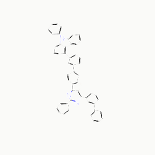 c1ccc(-c2cccc(-c3nc(-c4ccccc4)nc4c3sc3cc(-c5cccc(-c6cccc7c6c6ccccc6n7-c6ccccc6)c5)ccc34)c2)cc1